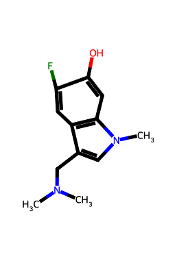 CN(C)Cc1cn(C)c2cc(O)c(F)cc12